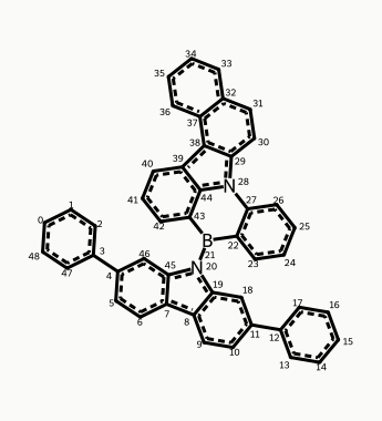 c1ccc(-c2ccc3c4ccc(-c5ccccc5)cc4n(B4c5ccccc5-n5c6ccc7ccccc7c6c6cccc4c65)c3c2)cc1